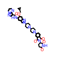 O=C1CCC(N2C(=O)c3ccc(N4CCC(N5CCC(n6cc7cc(NC(=O)c8cnn9cccnc89)c(OCC8CC8)cc7n6)CC5)CC4)cc3C2=O)C(=O)N1